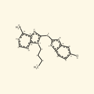 CCCCn1c(Sc2nc3ccc(Cl)cc3s2)nc2c(N)ncnc21